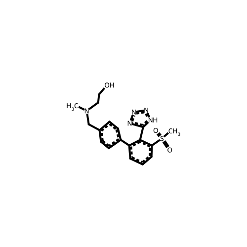 CN(CCO)Cc1ccc(-c2cccc(S(C)(=O)=O)c2-c2nnn[nH]2)cc1